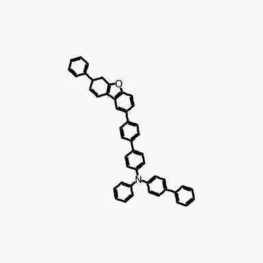 C1=CC(c2ccccc2)Cc2oc3ccc(-c4ccc(-c5ccc(N(c6ccccc6)c6ccc(-c7ccccc7)cc6)cc5)cc4)cc3c21